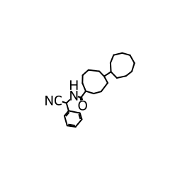 N#CC(NC(=O)C1CCCCC(C2CCCCCCCC2)CCC1)c1ccccc1